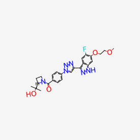 COCCOc1cc2[nH]nc(-c3cn(-c4ccc(C(=O)N5CC[C@@H]5C(C)(C)O)cc4)nn3)c2cc1F